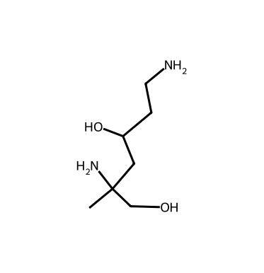 CC(N)(CO)CC(O)CCN